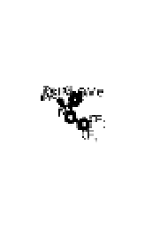 COc1ccc(-n2c(C#C[Si](C(C)C)(C(C)C)C(C)C)nc3ccc(-c4cc(C(F)(F)F)cc(C(F)(F)F)c4)cc32)cc1Cl